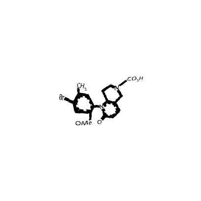 COc1cc(Br)c(C)cc1-n1c2c(ccc1=O)CN(C(=O)O)CC2